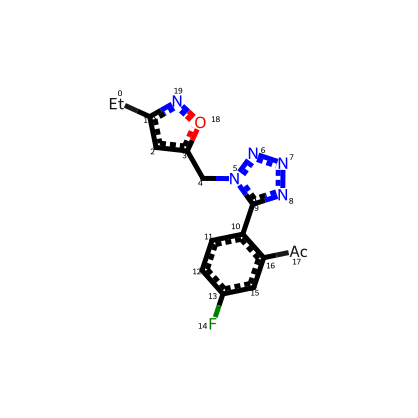 CCc1cc(Cn2nnnc2-c2ccc(F)cc2C(C)=O)on1